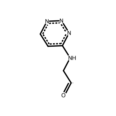 O=[C]CNc1ccnnn1